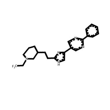 FC(F)(F)CN1CCCC(CCc2nc(-c3cnc(-c4ccccc4)nc3)c[nH]2)C1